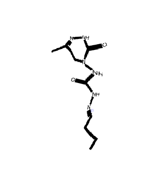 CCC/C=N/NC(=O)NN1CC(C)=NNC1=O